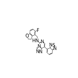 Fc1ccc2c(c1CNc1ncc(-c3cccc4nsnc34)c3nncn13)CCO2